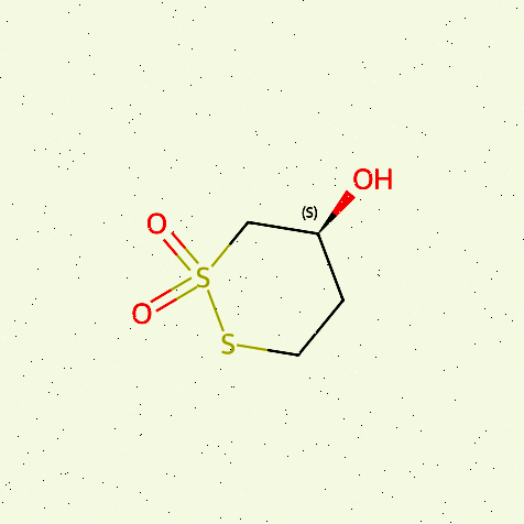 O=S1(=O)C[C@@H](O)CCS1